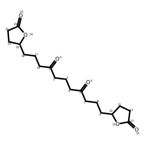 O=C(CCCC(=O)CCCC1CCC(=O)O1)CCCC1CCC(=O)O1